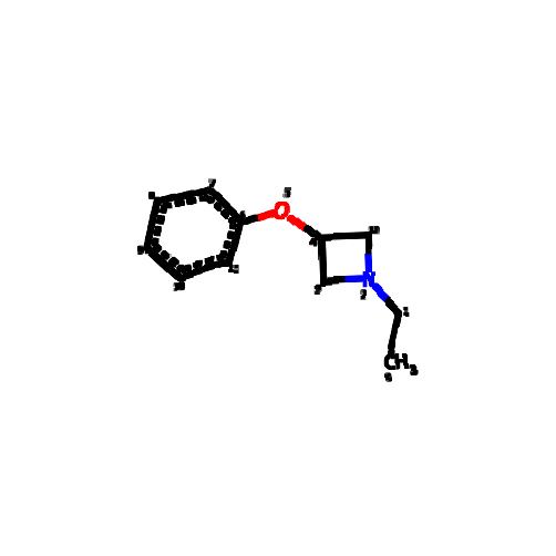 CCN1CC(Oc2cc[c]cc2)C1